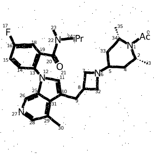 CC(=O)N1[C@H](C)CC(N2CC(Cc3cn(-c4ccc(F)cc4C(=O)N(C)C(C)C)c4cncc(C)c34)C2)C[C@@H]1C